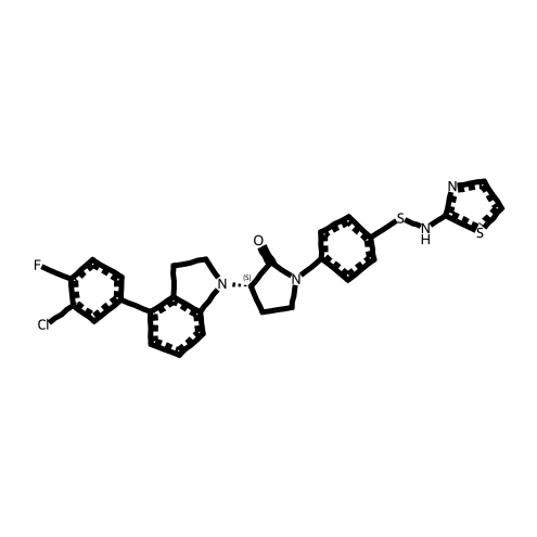 O=C1[C@@H](N2CCc3c(-c4ccc(F)c(Cl)c4)cccc32)CCN1c1ccc(SNc2nccs2)cc1